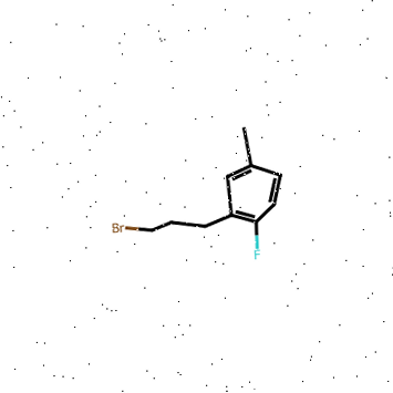 Cc1ccc(F)c(CCCBr)c1